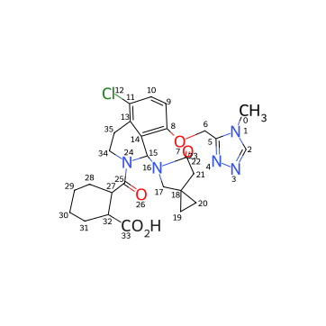 Cn1cnnc1COc1ccc(Cl)c2c1C(N1CC3(CC3)CC1=O)N(C(=O)C1CCCCC1C(=O)O)CC2